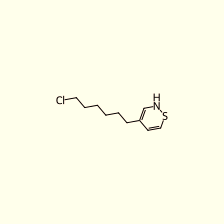 ClCCCCCCC1=CNSC=C1